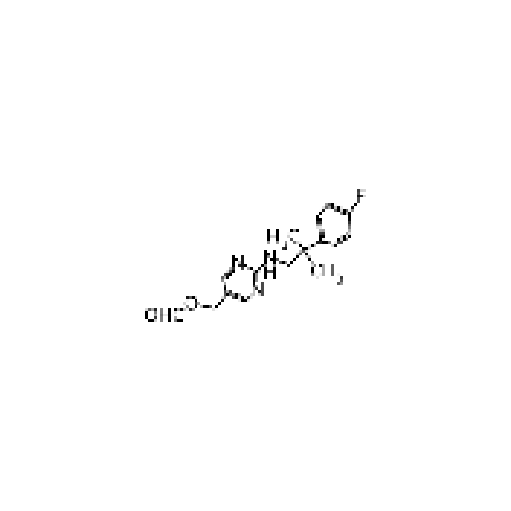 CC(C)(CNc1ncc(COC=O)cn1)c1ccc(F)cc1